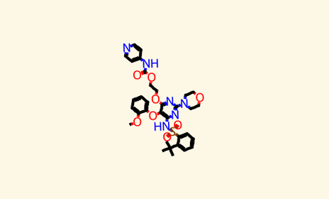 COc1ccccc1Oc1c(NS(=O)(=O)c2ccccc2C(C)(C)C)nc(N2CCOCC2)nc1OCCOC(=O)Nc1ccncc1